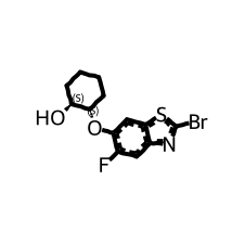 O[C@H]1CCCC[C@@H]1Oc1cc2sc(Br)nc2cc1F